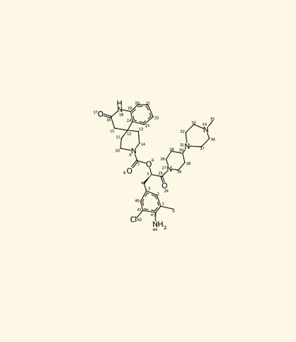 Cc1cc(C[C@@H](OC(=O)N2CCC3(CC2)CC(=O)Nc2ccccc23)C(=O)N2CCC(N3CCN(C)CC3)CC2)cc(Cl)c1N